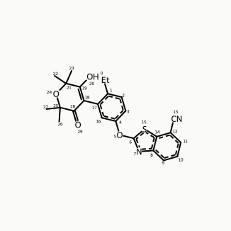 CCc1ccc(Oc2nc3cccc(C#N)c3s2)cc1C1=C(O)C(C)(C)OC(C)(C)C1=O